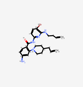 C=CCCNc1nc(NC(=O)c2ccc(N)cc2N2CCC(CC=C)CC2)ccc1Br